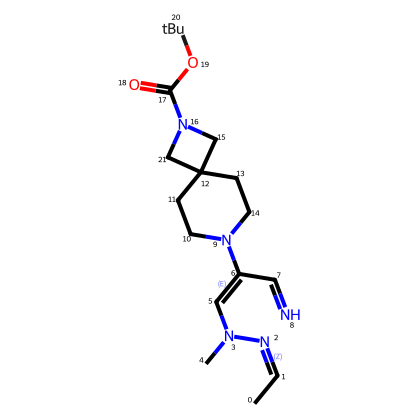 C/C=N\N(C)/C=C(\C=N)N1CCC2(CC1)CN(C(=O)OC(C)(C)C)C2